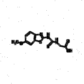 COc1ccc2nc(NC(=S)NCC(=O)O)sc2c1